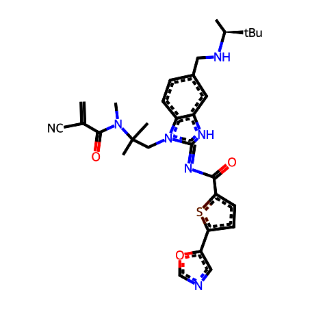 C=C(C#N)C(=O)N(C)C(C)(C)Cn1/c(=N/C(=O)c2ccc(-c3cnco3)s2)[nH]c2cc(CN[C@@H](C)C(C)(C)C)ccc21